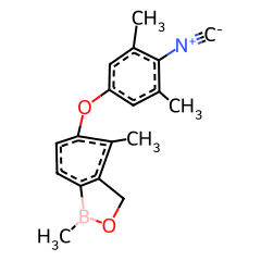 [C-]#[N+]c1c(C)cc(Oc2ccc3c(c2C)COB3C)cc1C